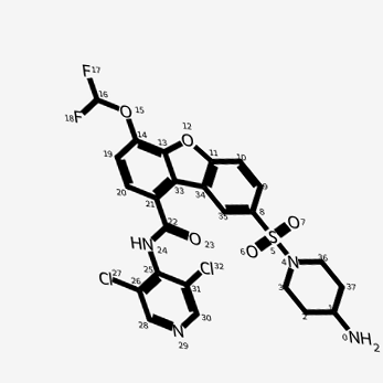 NC1CCN(S(=O)(=O)c2ccc3oc4c(OC(F)F)ccc(C(=O)Nc5c(Cl)cncc5Cl)c4c3c2)CC1